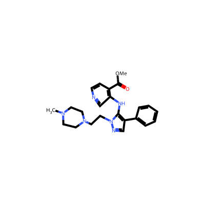 COC(=O)c1ccncc1Nc1c(-c2ccccc2)cnn1CCN1CCN(C)CC1